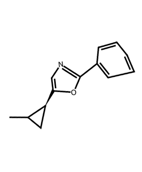 CC1C[C@@H]1c1cnc(-c2ccccc2)o1